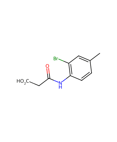 Cc1ccc(NC(=O)CC(=O)O)c(Br)c1